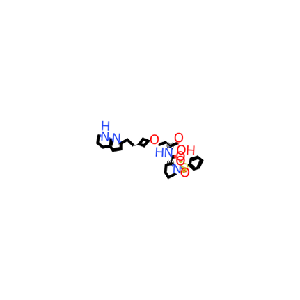 O=C(O)[C@H](CCO[C@H]1C[C@@H](CCc2ccc3c(n2)NCCC3)C1)NC(=O)[C@@H]1CCCCN1S(=O)(=O)c1ccccc1